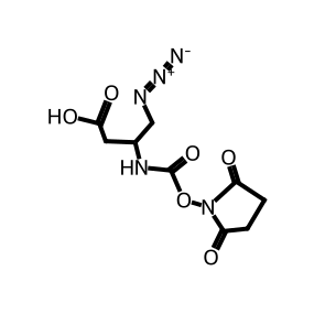 [N-]=[N+]=NCC(CC(=O)O)NC(=O)ON1C(=O)CCC1=O